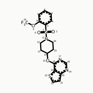 O=S(=O)(c1ccccc1OC(F)(F)F)N1CCC(Oc2ncnc3ccsc23)CC1